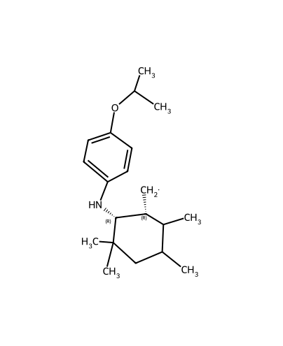 [CH2][C@@H]1C(C)C(C)CC(C)(C)[C@@H]1Nc1ccc(OC(C)C)cc1